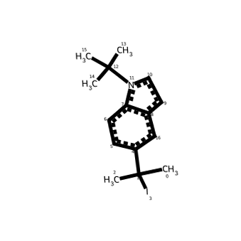 CC(C)(I)c1ccc2c(ccn2C(C)(C)C)c1